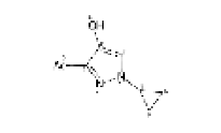 CC(=O)c1nn(C2CC2)cc1O